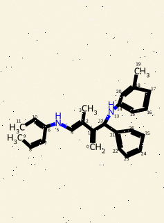 C=C(/C(C)=C/NC(/C=C\C)=C/C)C(Nc1cccc(C)c1)c1ccccc1